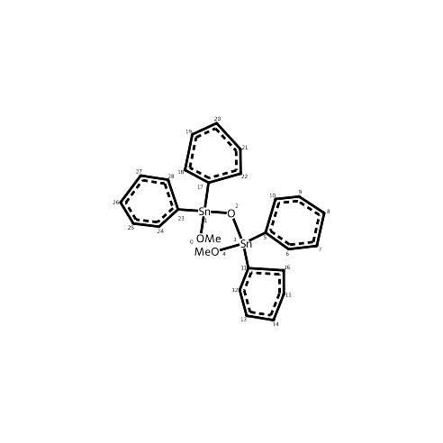 C[O][Sn]([O][Sn]([O]C)([c]1ccccc1)[c]1ccccc1)([c]1ccccc1)[c]1ccccc1